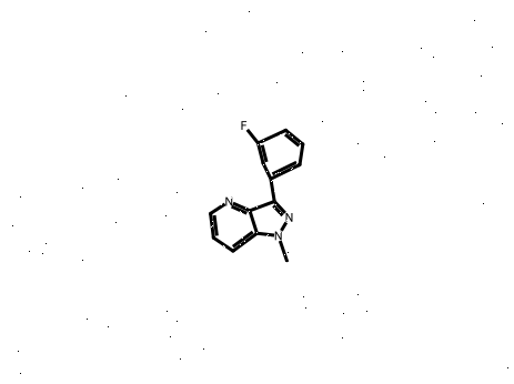 Cn1nc(-c2cccc(F)c2)c2ncccc21